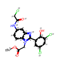 CC(C)(C)OC(=O)Cn1c(-c2cc(Cl)cc(Cl)c2O)nc2cc(NC(=O)CCl)ccc21